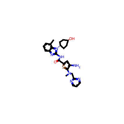 Cc1cccc2nc(NC(=O)c3cc(N)c(N(C)Cc4ncccn4)s3)n([C@H]3CC[C@H](O)CC3)c12